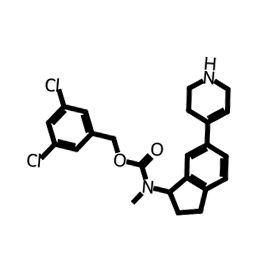 CN(C(=O)OCc1cc(Cl)cc(Cl)c1)C1CCc2ccc(C3=CCNCC3)cc21